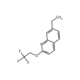 CCc1ccc2ccc(OCC(F)(F)F)nc2c1